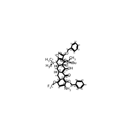 CN(C)[C@@H]1c2onc(OCc3ccccc3)c2C(=O)C2(O[Si](C)(C)C(C)(C)C)C(O)=C3C(=O)c4c(c(OC(F)(F)F)cc(N)c4OCc4ccccc4)C[C@H]3C[C@@H]12